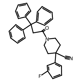 N#CC1(c2cccc(F)c2)CCN(C(=O)CC(c2ccccc2)(c2ccccc2)c2ccccc2)CC1